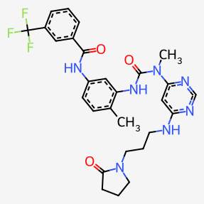 Cc1ccc(NC(=O)c2cccc(C(F)(F)F)c2)cc1NC(=O)N(C)c1cc(NCCCN2CCCC2=O)ncn1